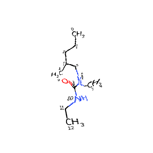 CCCC(C)CN(C)C(=O)NCC